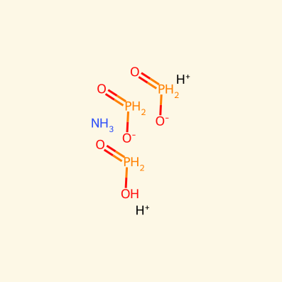 N.O=[PH2]O.O=[PH2][O-].O=[PH2][O-].[H+].[H+]